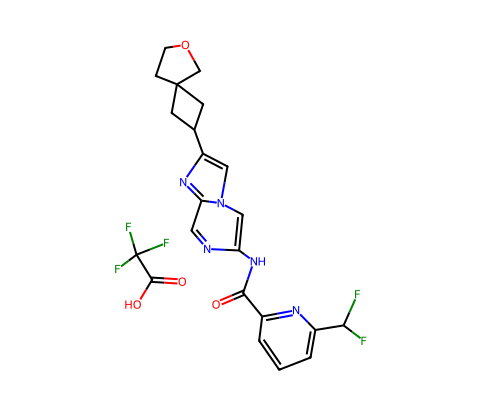 O=C(Nc1cn2cc(C3CC4(CCOC4)C3)nc2cn1)c1cccc(C(F)F)n1.O=C(O)C(F)(F)F